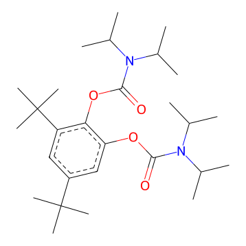 CC(C)N(C(=O)Oc1cc(C(C)(C)C)cc(C(C)(C)C)c1OC(=O)N(C(C)C)C(C)C)C(C)C